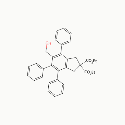 CCOC(=O)C1(C(=O)OCC)Cc2c(c(-c3ccccc3)c(-c3ccccc3)c(CO)c2-c2ccccc2)C1